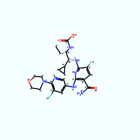 CC[C@H](NC(=O)O)[C@H](Nc1nc(Nc2cnc(N3CCOCC3)c(F)c2)c(C(N)=O)cc1F)C1CC1